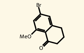 COc1cc(Br)cc2c1C(=O)CCC2